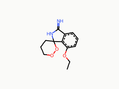 CCOc1cccc2c1C1(CCCOO1)NC2=N